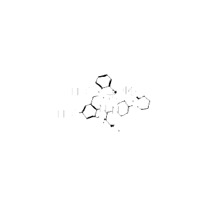 Cc1cc(C(C)Nc2ccccc2C(=O)O)c2nc(N3CCC(N4CCCCC4=O)CC3)c(C#N)nc2c1